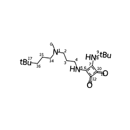 CN(CCCNc1c(NC(C)(C)C)c(=O)c1=O)CCCC(C)(C)C